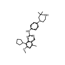 COc1cc(C)c2cnc(Nc3ccc(N4CCNC(C)(C)C4)cc3)nc2c1C1CCCC1